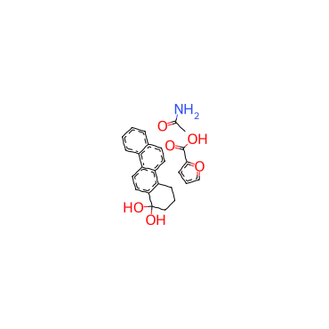 CC(N)=O.O=C(O)c1ccco1.OC1(O)CCCc2c1ccc1c2ccc2ccccc21